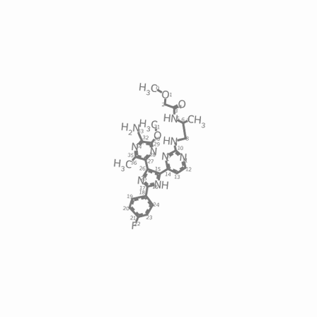 COCC(=O)NC(C)CNc1nccc(-c2[nH]c(-c3ccc(F)cc3)nc2-c2nc(OC)c(N)nc2C)n1